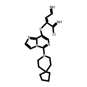 N=C/C=C(/Sc1cnc(N2CCC3(CCCC3)CC2)n2ccnc12)C(=N)Cl